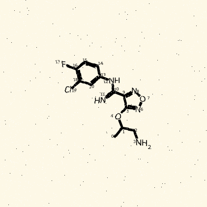 CC(CN)Oc1nonc1C(=N)Nc1ccc(F)c(Cl)c1